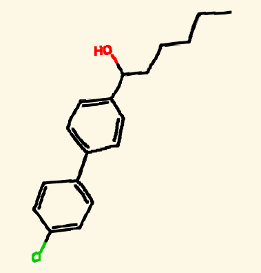 CCCCCC(O)c1ccc(-c2ccc(Cl)cc2)cc1